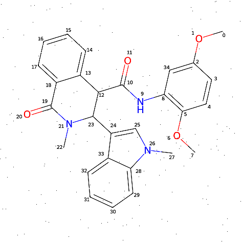 COc1ccc(OC)c(NC(=O)C2c3ccccc3C(=O)N(C)C2c2cn(C)c3ccccc23)c1